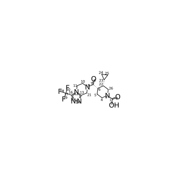 O=C(O)N1CC[C@H](C(=O)N2CCn3c(nnc3C(F)(F)F)C2)[C@H](C2CC2)C1